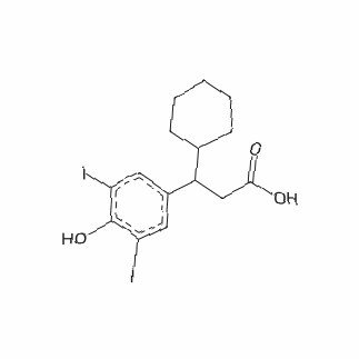 O=C(O)CC(c1cc(I)c(O)c(I)c1)C1CCCCC1